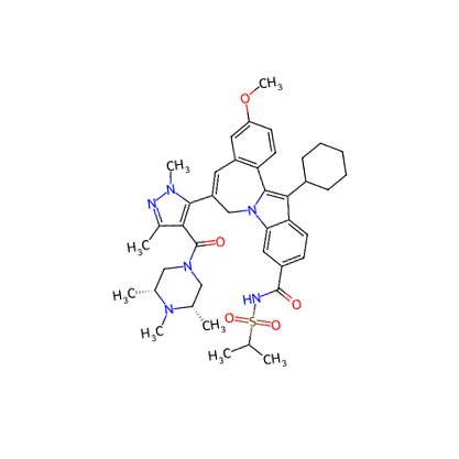 COc1ccc2c(c1)C=C(c1c(C(=O)N3C[C@@H](C)N(C)[C@@H](C)C3)c(C)nn1C)Cn1c-2c(C2CCCCC2)c2ccc(C(=O)NS(=O)(=O)C(C)C)cc21